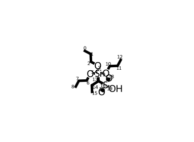 CCCO[Si](OCCC)(OCCC)C(CC)S(=O)(=O)O